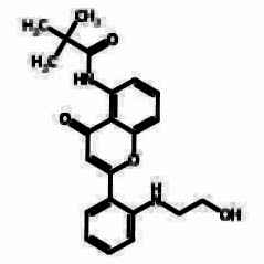 CC(C)(C)C(=O)Nc1cccc2oc(-c3ccccc3NCCO)cc(=O)c12